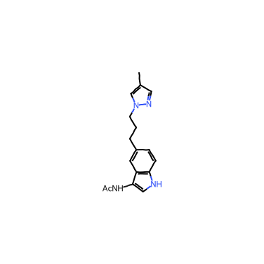 CC(=O)Nc1c[nH]c2ccc(CCCn3cc(C)cn3)cc12